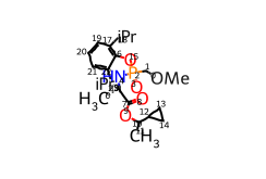 COCP(=O)(N[C@@H](C)C(=O)OC(C)C1CC1)Oc1c(C(C)C)cccc1C(C)C